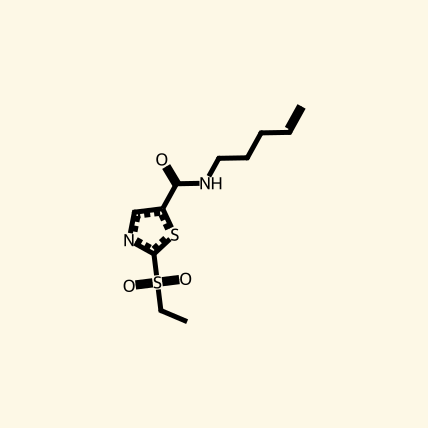 C=CCCCNC(=O)c1cnc(S(=O)(=O)CC)s1